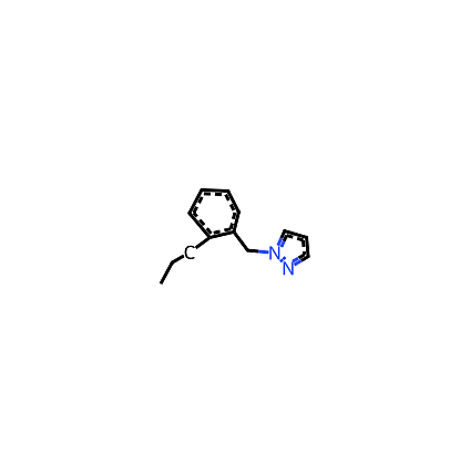 CCCc1ccccc1Cn1cccn1